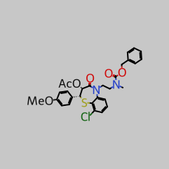 COc1ccc([C@H]2Sc3c(Cl)cccc3N(CCN(C)C(=O)OCc3ccccc3)C(=O)[C@H]2OC(C)=O)cc1